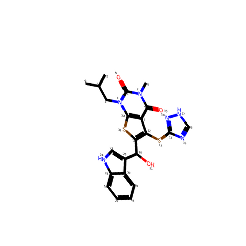 CC(C)Cn1c(=O)n(C)c(=O)c2c(Sc3nc[nH]n3)c(C(O)c3c[nH]c4ccccc34)sc21